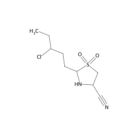 CCC(Cl)CCC1NC(C#N)CS1(=O)=O